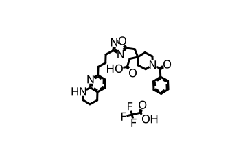 O=C(O)C(F)(F)F.O=C(O)CC1(Cc2nc(CCCc3ccc4c(n3)NCCC4)no2)CCN(C(=O)c2ccccc2)CC1